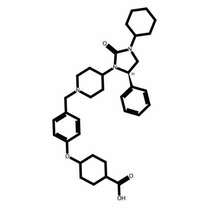 O=C(O)C1CCC(Oc2ccc(CN3CCC(N4C(=O)N(C5CCCCC5)C[C@H]4c4ccccc4)CC3)cc2)CC1